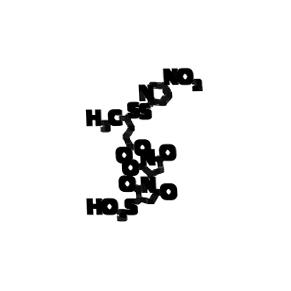 CC(CCC(=O)ON1C(=O)CC(N2C(=O)CC(S(=O)(=O)O)C2=O)C1=O)SSc1ccc([N+](=O)[O-])cn1